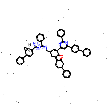 N/C(=N\C(=N/CC1C=C(c2cc(-c3ccc(-c4ccccc4)cc3)nc(-c3ccccc3)n2)c2oc3c(c2C1)C=CC(c1ccccc1)C3)c1ccccc1)C1=CC=C(c2ccccc2)C2C[C@@H]12